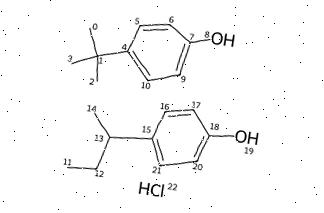 CC(C)(C)c1ccc(O)cc1.CCC(C)c1ccc(O)cc1.Cl